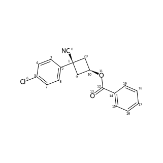 N#C[C@]1(c2ccc(Cl)cc2)C[C@H](OC(=O)c2ccccc2)C1